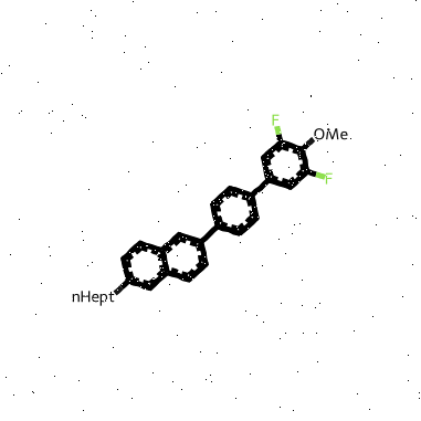 CCCCCCCc1ccc2cc(-c3ccc(-c4cc(F)c(OC)c(F)c4)cc3)ccc2c1